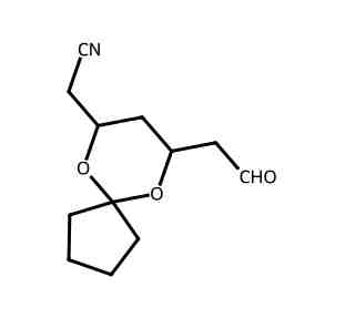 N#CCC1CC(CC=O)OC2(CCCC2)O1